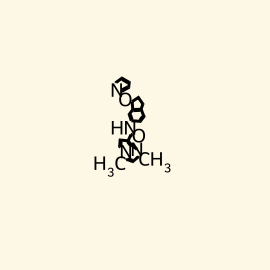 Cc1cc(C)n2ccc(C(=O)Nc3ccc4c(c3)C(Oc3ccccn3)CC4)c2n1